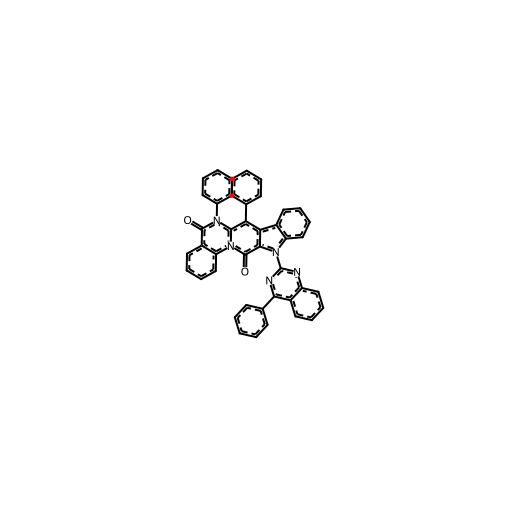 O=c1c2ccccc2n2c(=O)c3c(c(-c4ccccc4)c2n1-c1ccccc1)c1ccccc1n3-c1nc(-c2ccccc2)c2ccccc2n1